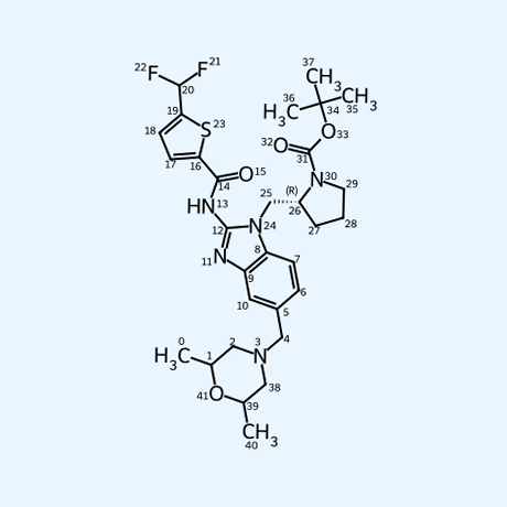 CC1CN(Cc2ccc3c(c2)nc(NC(=O)c2ccc(C(F)F)s2)n3C[C@H]2CCCN2C(=O)OC(C)(C)C)CC(C)O1